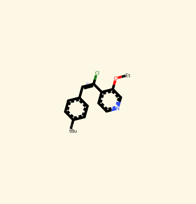 CCOc1cnccc1/C(Cl)=C\c1ccc(C(C)(C)C)cc1